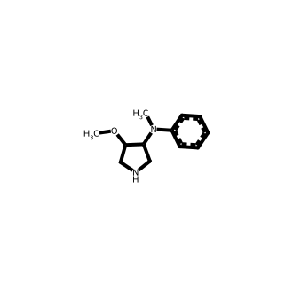 COC1CNCC1N(C)c1ccccc1